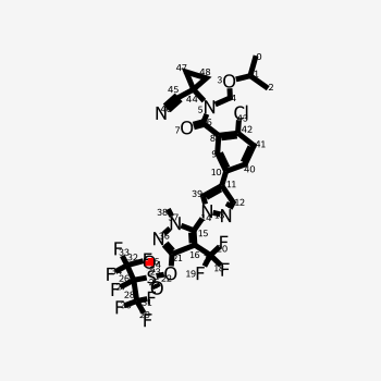 CC(C)OCN(C(=O)c1cc(-c2cnn(-c3c(C(F)(F)F)c(OS(=O)(=O)C(F)(C(F)(F)F)C(F)(F)F)nn3C)c2)ccc1Cl)C1(C#N)CC1